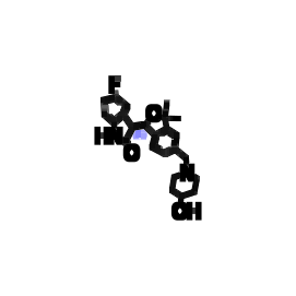 CC1(C)O/C(=C2/C(=O)Nc3ccc(F)cc32)c2ccc(CN3CCC(O)CC3)cc21